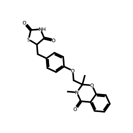 CN1C(=O)c2ccccc2OC1(C)COc1ccc(CC2SC(=O)NC2=O)cc1